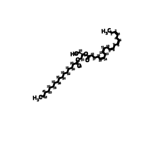 CC/C=C\C/C=C\C/C=C\C/C=C\C/C=C\CCCC(=O)O[C@@H](CO)COC(=O)CCCCCCCCCCCCCCC